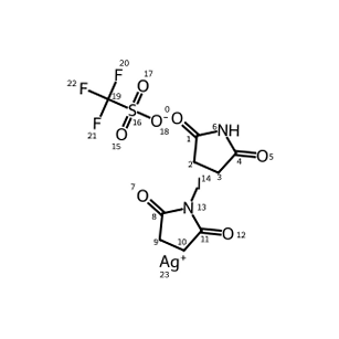 O=C1CCC(=O)N1.O=C1CCC(=O)N1I.O=S(=O)([O-])C(F)(F)F.[Ag+]